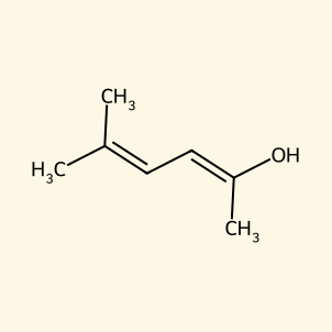 CC(C)=C/C=C(\C)O